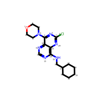 Clc1nc(N2CCOCC2)c2ncnc(NCC3CCCCC3)c2n1